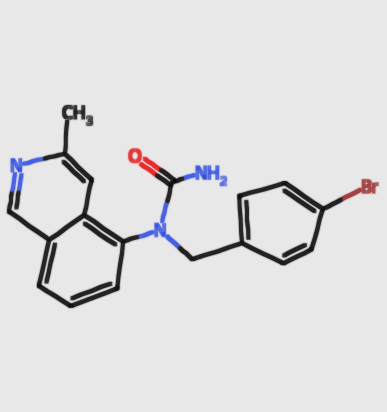 Cc1cc2c(N(Cc3ccc(Br)cc3)C(N)=O)cccc2cn1